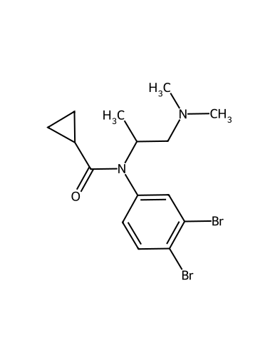 CC(CN(C)C)N(C(=O)C1CC1)c1ccc(Br)c(Br)c1